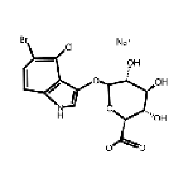 O=C([O-])[C@H]1O[C@@H](Oc2c[nH]c3ccc(Br)c(Cl)c23)[C@H](O)[C@@H](O)[C@@H]1O.[Na+]